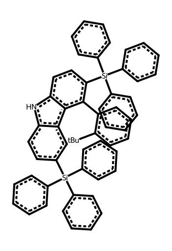 CC(C)(C)c1ccccc1-c1c([Si](c2ccccc2)(c2ccccc2)c2ccccc2)ccc2[nH]c3ccc([Si](c4ccccc4)(c4ccccc4)c4ccccc4)cc3c12